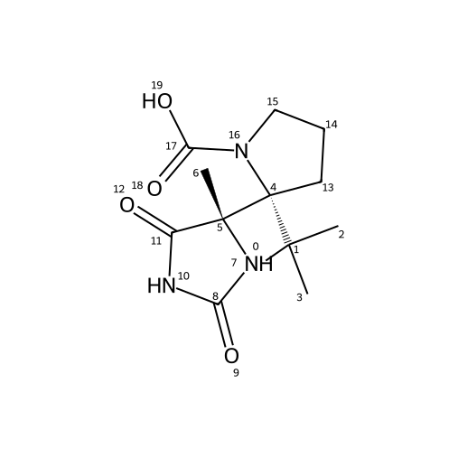 CC(C)(C)[C@@]1([C@]2(C)NC(=O)NC2=O)CCCN1C(=O)O